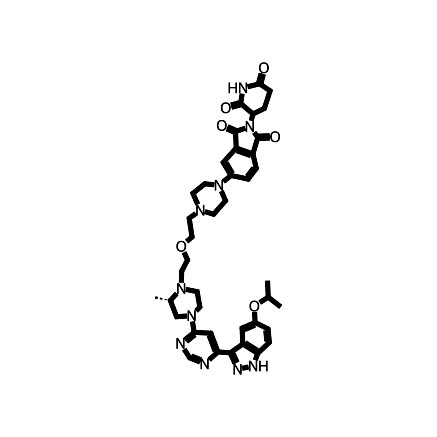 CC(C)Oc1ccc2[nH]nc(-c3cc(N4CCN(CCOCCN5CCN(c6ccc7c(c6)C(=O)N(C6CCC(=O)NC6=O)C7=O)CC5)[C@@H](C)C4)ncn3)c2c1